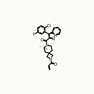 C=CC(=O)N1CC2(CCN(C(=O)c3nn4ccccc4c3-c3cc(F)ccc3Cl)[C@@H](C)C2)C1